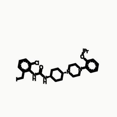 CC(C)Oc1ccccc1N1CCN([C@H]2CC[C@H](NC(=O)Nc3c(Cl)cccc3CI)CC2)CC1